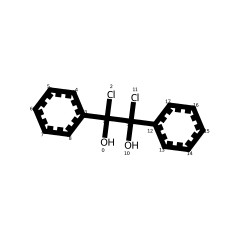 OC(Cl)(c1ccccc1)C(O)(Cl)c1ccccc1